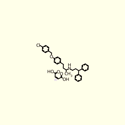 CC(CCc1ccc(OCc2ccc(Cl)cc2)cc1)NCCC(c1ccccc1)c1ccccc1.O=C(O)/C=C\C(=O)O